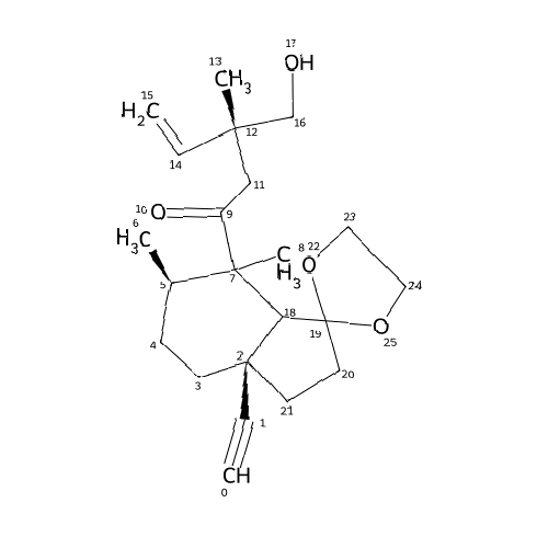 C#C[C@@]12CC[C@@H](C)C(C)(C(=O)C[C@](C)(C=C)CO)C1C1(CC2)OCCO1